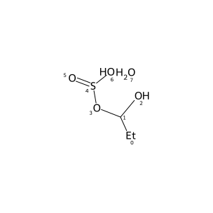 CCC(O)OS(=O)O.O